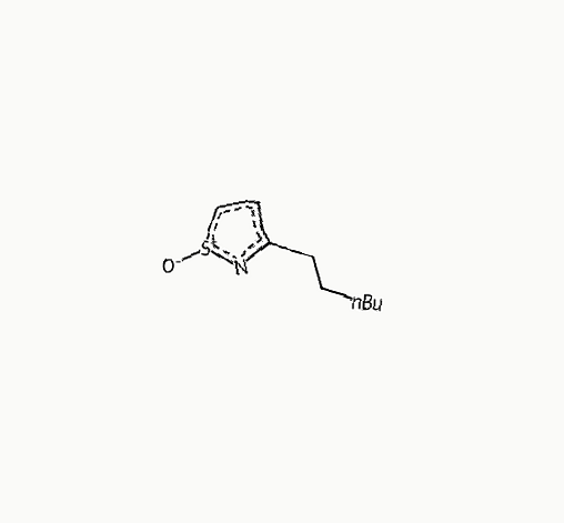 CCCCCCc1cc[s+]([O-])n1